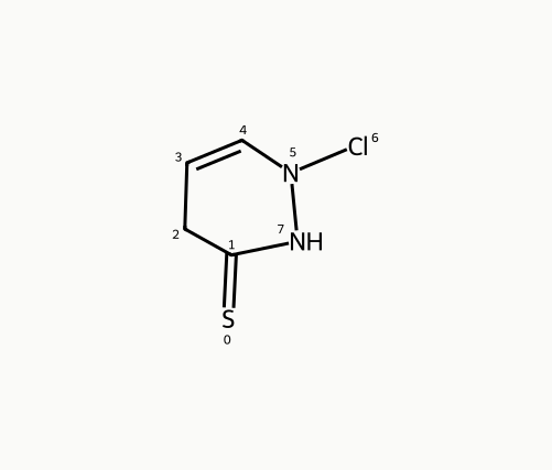 S=C1CC=CN(Cl)N1